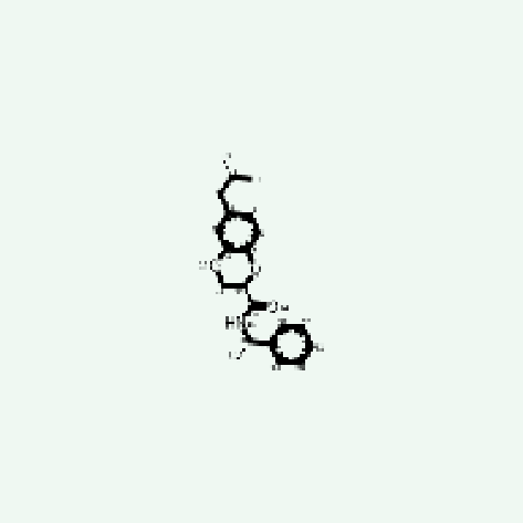 C[C@H](I)Cc1ccc2c(c1)OC[C@H](C(=O)N[C@@H](C)c1ccccc1)O2